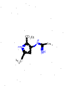 CCOC(=O)c1[nH]c(C)cc1NC(C)=N